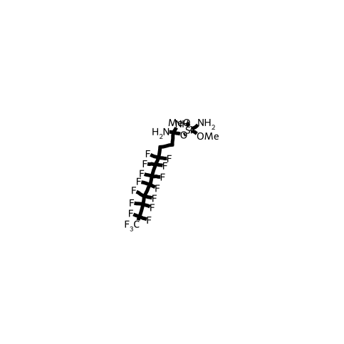 CO[Si](N)(OC)OC(N)(N)CCC(F)(F)C(F)(F)C(F)(F)C(F)(F)C(F)(F)C(F)(F)C(F)(F)C(F)(F)F